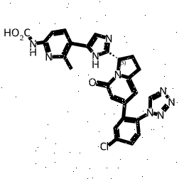 Cc1nc(NC(=O)O)ccc1-c1cnc([C@@H]2CCc3cc(-c4cc(Cl)ccc4-n4cnnn4)cc(=O)n32)[nH]1